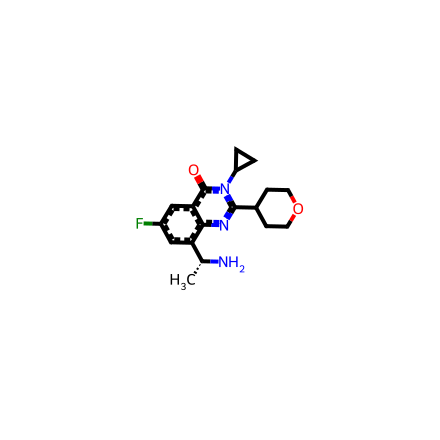 C[C@@H](N)c1cc(F)cc2c(=O)n(C3CC3)c(C3CCOCC3)nc12